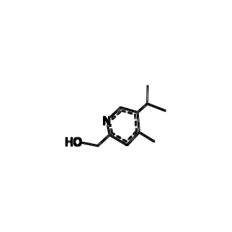 Cc1cc(CO)ncc1C(C)C